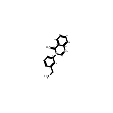 CCc1cccc(-n2cnc3ccccc3c2=O)c1